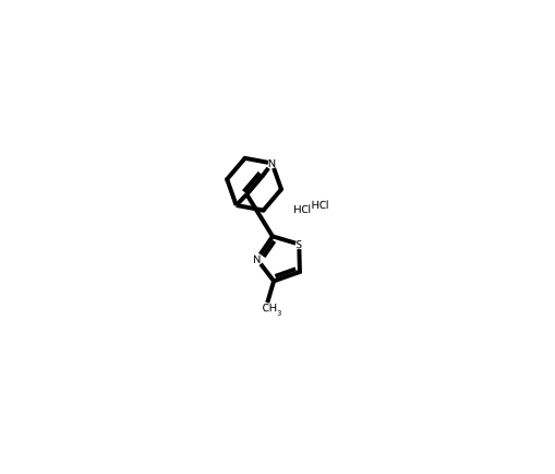 Cc1csc(C2=CN3CCC2CC3)n1.Cl.Cl